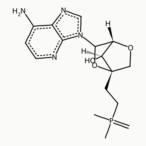 C=P(C)(C)CC[C@@]12CO[C@@H](C(n3cnc4c(N)ccnc43)O1)[C@@H]2O